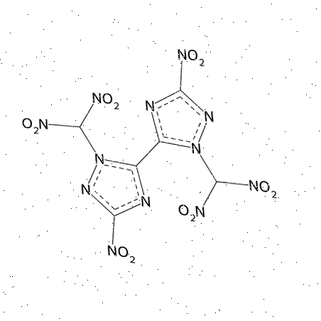 O=[N+]([O-])c1nc(-c2nc([N+](=O)[O-])nn2C([N+](=O)[O-])[N+](=O)[O-])n(C([N+](=O)[O-])[N+](=O)[O-])n1